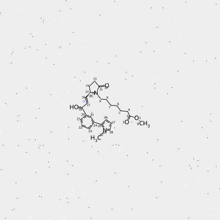 COC(=O)CCCCCCN1C(=O)CC[C@@H]1/C=C/C(O)c1cccc(-c2cccn2C)c1